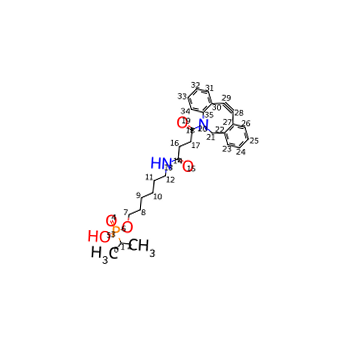 CC(C)P(=O)(O)OCCCCCCNC(=O)CCC(=O)N1Cc2ccccc2C#Cc2ccccc21